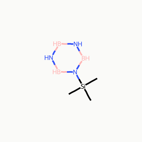 C[Si](C)(C)N1BNBNB1